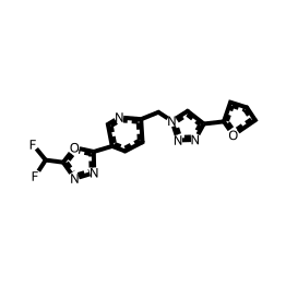 FC(F)c1nnc(-c2ccc(Cn3cc(-c4ccco4)nn3)nc2)o1